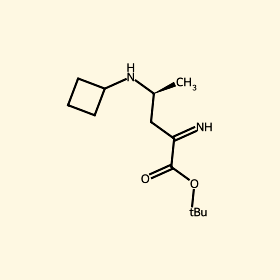 C[C@@H](CC(=N)C(=O)OC(C)(C)C)NC1CCC1